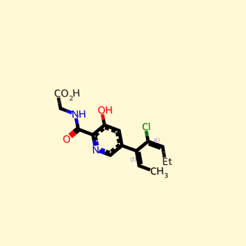 C/C=C(\C(Cl)=C/CC)c1cnc(C(=O)NCC(=O)O)c(O)c1